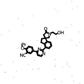 CC(C)Oc1ccc(-c2ccnc(-c3cccc4c3CCC43CC(=O)N(CCO)C3)n2)cc1C#N